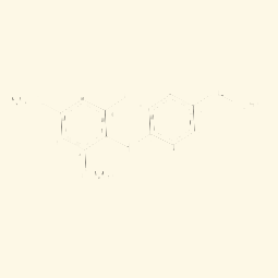 CCCCCCCCCCOc1ccc([I+]c2c(C)cc(OC)cc2OC)cc1